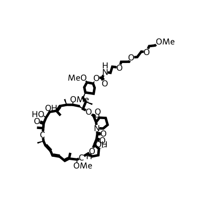 COCCOCCOCCOCCNC(=O)O[C@@H]1CC[C@@H](C[C@@H](C)[C@@H]2C[C@@H](OC)[C@H](C)/C=C(\C)[C@@H](O)[C@@H](O)C(=O)C(C)C[C@H](C)/C=C/C=C/C=C(\C)[C@@H](OC)C[C@@H]3CC[C@@H](C)[C@@](O)(O3)C(=O)C(=O)N3CCCC[C@H]3C(=O)O2)C[C@H]1OC